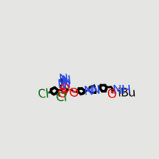 CCC(C)NC(=O)Cc1ccc(N2CCN(c3ccc(OC[C@@H]4CO[C@@](Cn5cnnn5)(c5ccc(Cl)cc5Cl)O4)cc3)CC2)cc1